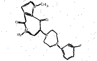 CCCN1CC(N2CCN(c3cccc(F)c3)CC2)C(=O)c2c(ccn2C)C1=O